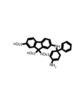 CCCCCCCCc1ccc2c(c1)C(CCCCCCCC)(CCCCCCCC)c1cc(NC3(c4ccccc4)C=CC(N)=CC3)ccc1-2